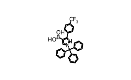 OB(O)c1cn(C(c2ccccc2)(c2ccccc2)c2ccccc2)nc1-c1ccc(C(F)(F)F)cc1